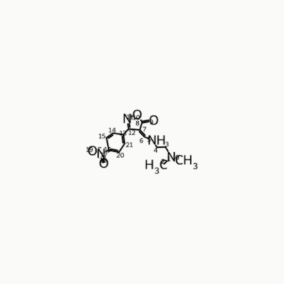 CN(C)CCN/C=C1\C(=O)ON=C1c1ccc([N+](=O)[O-])cc1